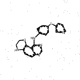 c1cncc(Oc2ccc(Nc3ncnc4ccc5c(c34)OCCN5)cc2)c1